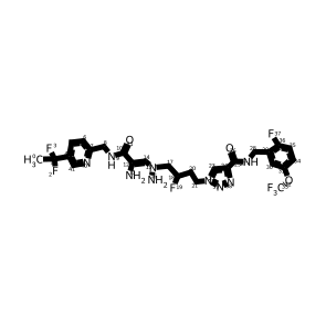 CC(F)(F)c1ccc(CNC(=O)/C(N)=C/N(N)CC(F)CCn2cc(C(=O)NCc3cc(OC(F)(F)F)ccc3F)nn2)nc1